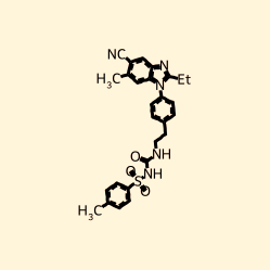 CCc1nc2cc(C#N)c(C)cc2n1-c1ccc(CCNC(=O)NS(=O)(=O)c2ccc(C)cc2)cc1